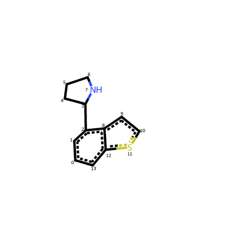 c1cc(C2CCCN2)c2ccsc2c1